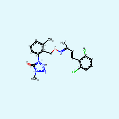 CC(C=Cc1c(Cl)cccc1Cl)=NOCc1c(C)cccc1-n1nnn(C)c1=O